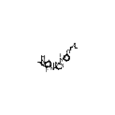 Cc1cc2c(F)c(Nc3ccnc(Nc4cccc(OCCN(C)C)c4)n3)ccc2[nH]1